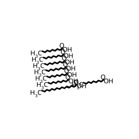 CCCCCCCCCC(=O)O.CCCCCCCCCC(=O)O.CCCCCCCCCC(=O)O.CCCCCCCCCC(=O)O.CCCCCCCCCC(=O)O.CCCCCCCCCC(=O)O.CCCCCCCCCC(=O)O.CCCCCCCCCCC/C=C/C=C/C(=O)O